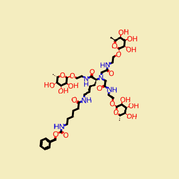 C[C@@H]1O[C@@H](OCCNC(=O)CN(CC(=O)NCCO[C@@H]2O[C@@H](C)[C@@H](O)[C@@H](O)[C@@H]2O)[C@@H](CCCCNC(=O)CCCCCNC(=O)OCc2ccccc2)C(=O)NCCO[C@@H]2O[C@@H](C)[C@@H](O)[C@@H](O)[C@@H]2O)[C@@H](O)[C@H](O)[C@@H]1O